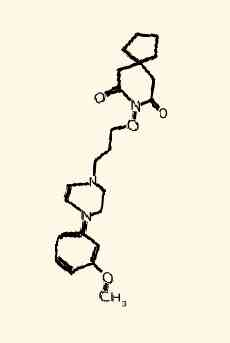 COc1cccc(N2CCN(CCCON3C(=O)CC4(CCCC4)CC3=O)CC2)c1